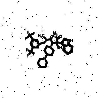 CC(=O)C(N)(c1c[nH]c2ccccc12)C(C(=O)N(C)Cc1cc(C(F)(F)F)cc(C(F)(F)F)c1)N1CCC(N2CCCCC2)CC1